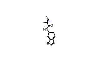 C/C=C(\C)C(=O)Nc1ccc2nc[nH]c2c1